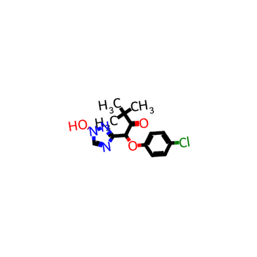 CC(C)(C)C(=O)C(Oc1ccc(Cl)cc1)c1ncn(O)n1